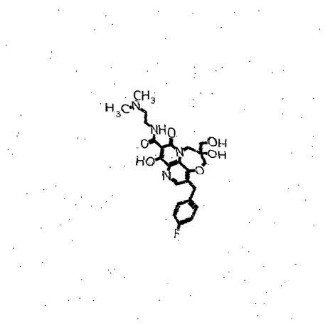 CN(C)CCNC(=O)c1c(O)c2ncc(Cc3ccc(F)cc3)c3c2n(c1=O)CC(O)(CO)CO3